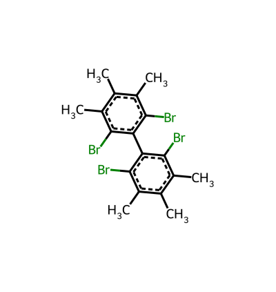 Cc1c(C)c(Br)c(-c2c(Br)c(C)c(C)c(C)c2Br)c(Br)c1C